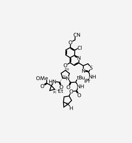 CC[C@@H]1CC1(NC(=O)[C@@H]1C[C@H](Oc2cc(C3CSC(NC(C)C)=N3)nc3c(Cl)c(OCC#N)ccc23)CN1C(=O)C(NC(=O)OC1CC2C[C@H]2C1)C(C)(C)C)C(=O)OC